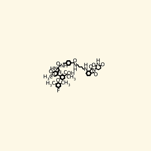 Cc1cc(F)cc(C)c1Oc1ccc(C(C)(C)O)cc1-c1cn(C)c(=O)c2[nH]c(C(=O)NCc3ccc(C(=O)NCCCCNc4cccc5c4C(=O)N(C4CCC(=O)NC4=O)C5=O)cc3)cc12